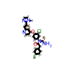 Cn1ccnc1-c1cc2nccc(Oc3ccc(N(C(=O)Cc4ccc(F)cc4)C(N)=S)cc3Cl)c2s1